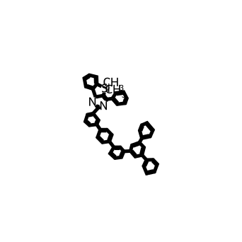 C[Si]1(C)c2ccccc2-c2nc(-c3cccc(-c4ccc(-c5cccc(-c6cc(-c7ccccc7)cc(-c7ccccc7)c6)c5)cc4)c3)nc(-c3ccccc3)c21